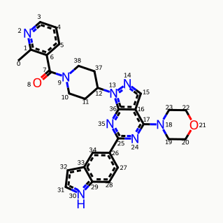 Cc1ncccc1C(=O)N1CCC(n2ncc3c(N4CCOCC4)nc(-c4ccc5[nH]ccc5c4)nc32)CC1